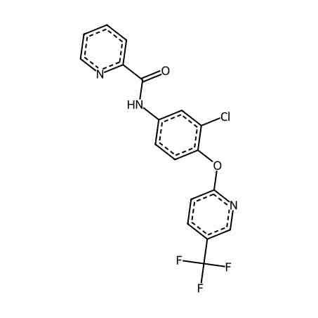 O=C(Nc1ccc(Oc2ccc(C(F)(F)F)cn2)c(Cl)c1)c1ccccn1